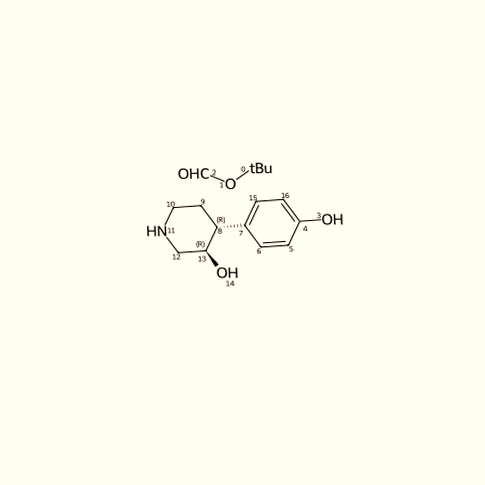 CC(C)(C)OC=O.Oc1ccc([C@H]2CCNC[C@@H]2O)cc1